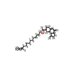 CC[C@@H](C)[C@H](C)CCCCCCCCCCCOC(C)C1CCC(CC(C)C2CCC(C)C2)CC1